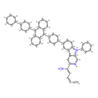 C/C=C\C=C(/N)c1cc2c3cc(-c4ccc(-c5c6ccccc6c(-c6ccc(-c7ccccc7)cc6)c6ccccc56)cc4)ccc3n(-c3ccccc3)c2cn1